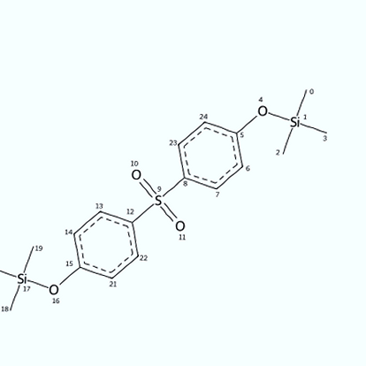 C[Si](C)(C)Oc1ccc(S(=O)(=O)c2ccc(O[Si](C)(C)C)cc2)cc1